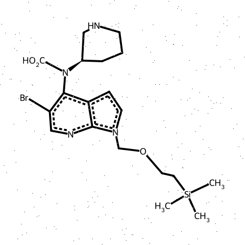 C[Si](C)(C)CCOCn1ccc2c(N(C(=O)O)[C@@H]3CCCNC3)c(Br)cnc21